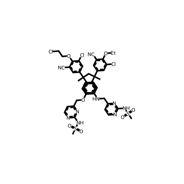 CCOc1c(Cl)cc(C(C)(CC(C)(c2ccc(NCc3ccnc(NS(C)(=O)=O)n3)cc2)c2cc(Cl)c(OCCCl)c(C#N)c2)c2ccc(OCc3ccnc(NS(C)(=O)=O)n3)cc2)cc1C#N